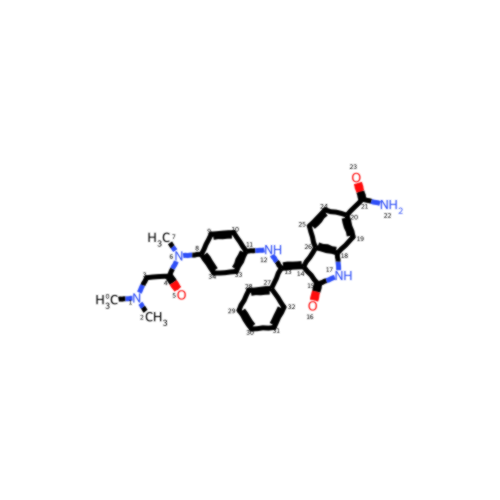 CN(C)CC(=O)N(C)c1ccc(NC(=C2C(=O)Nc3cc(C(N)=O)ccc32)c2ccccc2)cc1